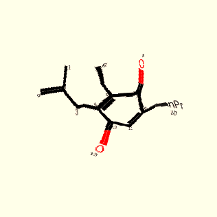 C=C(C)CC1=C(C)C(=O)C(CCC)=CC1=O